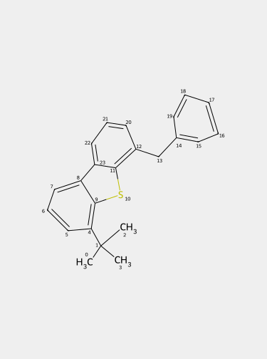 CC(C)(C)c1cccc2c1sc1c(Cc3ccccc3)cccc12